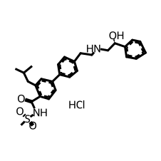 CC(C)Cc1cc(-c2ccc(CCNC[C@H](O)c3ccccc3)cc2)ccc1C(=O)NS(C)(=O)=O.Cl